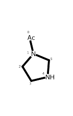 CC(=O)N1CCNC1